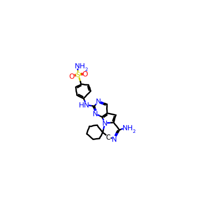 NC1=NCC2(CCCCC2)n2c1cc1cnc(Nc3ccc(S(N)(=O)=O)cc3)nc12